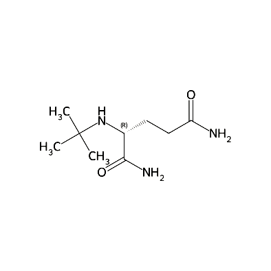 CC(C)(C)N[C@H](CCC(N)=O)C(N)=O